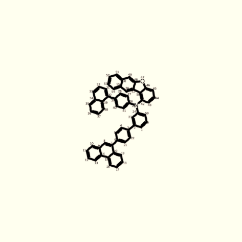 c1cc(-c2ccc(-c3cc4ccccc4c4ccccc34)cc2)cc(N(c2ccc(-c3cccc4ccccc34)cc2)c2cccc3oc4cc5ccccc5cc4c23)c1